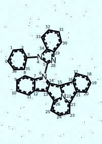 c1ccc(-n2c(-n3c4ccccc4c4c3c3c5ccccc5c5cccc4n53)nc3ccccc32)cc1